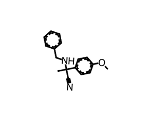 COc1ccc(C(C)(C#N)NCc2ccccc2)cc1